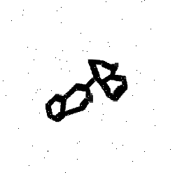 c1ccc2cc(-c3ccnc4ccccc34)ncc2c1